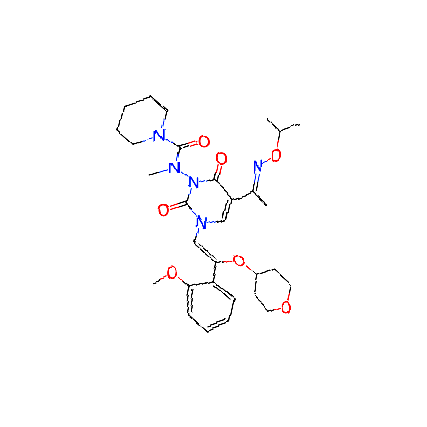 COc1ccccc1/C(=C/n1cc(/C(C)=N/OC(C)C)c(=O)n(N(C)C(=O)N2CCCCC2)c1=O)OC1CCOCC1